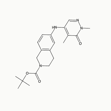 Cc1c(Nc2ccc3c(c2)CCN(C(=O)OC(C)(C)C)C3)cnn(C)c1=O